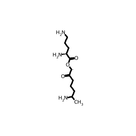 CC(N)CCCC(=O)[CH]OC(=O)[C@@H](N)CCCN